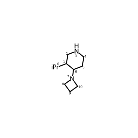 CC(C)C1CNCCC1N1CCC1